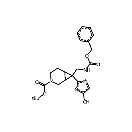 Cc1csc(C2(CNC(=O)OCc3ccccc3)C3CCN(C(=O)OC(C)(C)C)CC32)n1